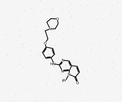 CC(C)n1c(=O)ccc2cnc(Nc3ccc(OCCN4CCOCC4)cc3)nc21